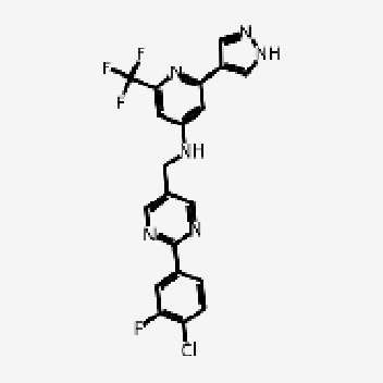 Fc1cc(-c2ncc(CNc3cc(-c4cn[nH]c4)nc(C(F)(F)F)c3)cn2)ccc1Cl